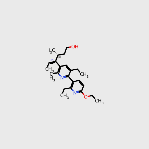 C/C=C(\c1cc(CC)c(-c2ccc(OCC)nc2CC)nc1C)[C@H](C)CCO